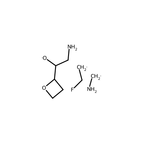 NCC([O])C1CCO1.[CH2]CF.[CH2]N